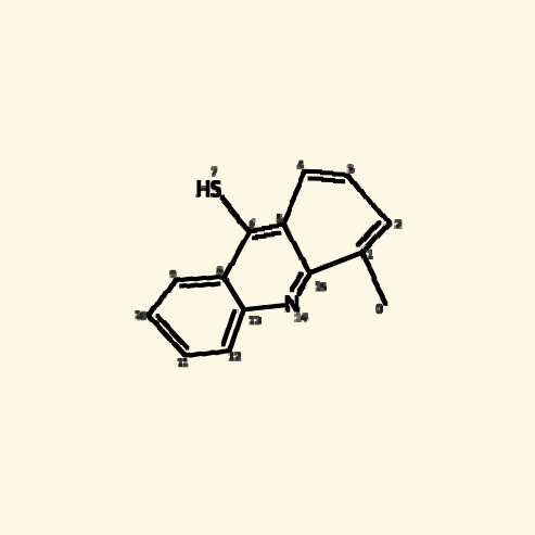 Cc1cccc2c(S)c3ccccc3nc12